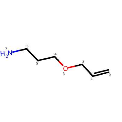 C=CCOCCCN